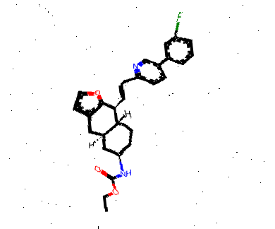 CCOC(=O)N[C@@H]1CC[C@@H]2[C@H](Cc3ccoc3[C@H]2/C=C/c2ccc(-c3cccc(F)c3)cn2)C1